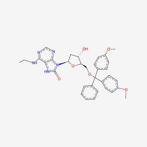 CCNc1ncnc2c1[nH]c(=O)n2[C@H]1C[C@H](O)[C@@H](COC(c2ccccc2)(c2ccc(OC)cc2)c2ccc(OC)cc2)O1